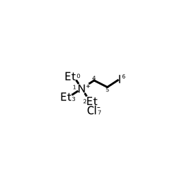 CC[N+](CC)(CC)CCI.[Cl-]